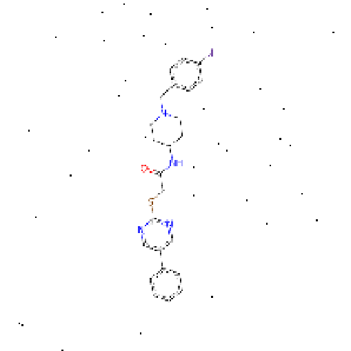 O=C(CSc1ncc(-c2ccccc2)cn1)NC1CCN(Cc2ccc(I)cc2)CC1